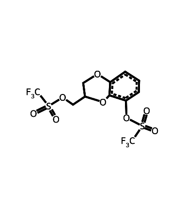 O=S(=O)(OCC1COc2cccc(OS(=O)(=O)C(F)(F)F)c2O1)C(F)(F)F